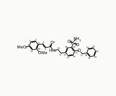 COc1ccc(C=CC(=O)NCCc2ccc(OCc3ccccc3)c(S(N)(=O)=O)c2)c(OC)c1